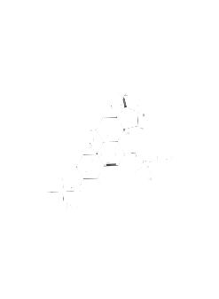 CC(C)(C)[Si](C)(C)O[C@H]1CC[C@@]2(C)C(=C[C@H](O[Si](C)(C)C(C)(C)C)C3C2CC[C@]2(C)C(=O)[C@H](O)CC32)C1